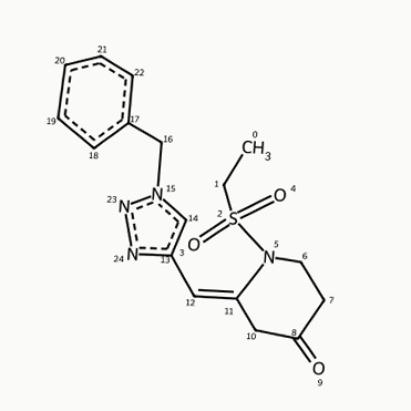 CCS(=O)(=O)N1CCC(=O)CC1=Cc1cn(Cc2ccccc2)nn1